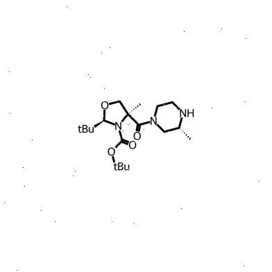 C[C@@H]1CN(C(=O)[C@]2(C)CO[C@H](C(C)(C)C)N2C(=O)OC(C)(C)C)CCN1